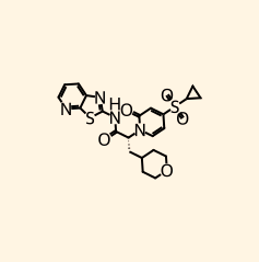 O=C(Nc1nc2cccnc2s1)[C@@H](CC1CCOCC1)n1ccc(S(=O)(=O)C2CC2)cc1=O